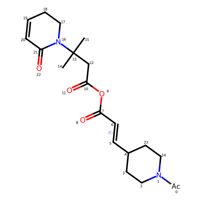 CC(=O)N1CCC(/C=C/C(=O)OC(=O)CC(C)(C)N2CCC=CC2=O)CC1